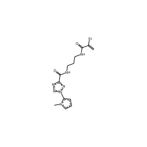 C=C(CC)C(=O)NCCCNC(=O)c1nnn(-c2cccn2C)n1